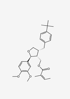 C/C=C(/C)C(=O)OC[C@H]1[C@@H](Cc2ccc(C(C)(C)C)cc2)CO[C@@H]1c1ccc(OC)c(OC)c1